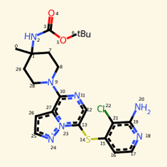 CC1(NC(=O)OC(C)(C)C)CCN(c2ncc(Sc3ccnc(N)c3Cl)n3nccc23)CC1